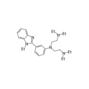 CCN(CC)CCN(CCN(CC)CC)c1cccc(-c2nc3ccccc3n2CC)c1